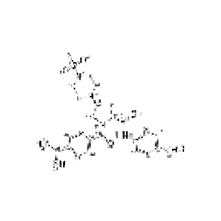 CS(=O)(=O)N1CCN([C@H]2C[C@@H](C(=O)Nc3ccc(C=O)cc3)N(C(=O)c3ccc(C(=N)N)cc3)C2)CC1